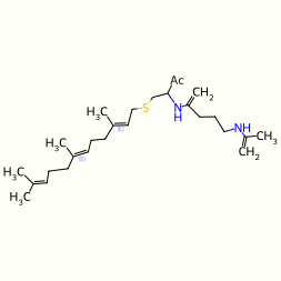 C=C(C)NCCCC(=C)NC(CSC/C=C(\C)CC/C=C(\C)CCC=C(C)C)C(C)=O